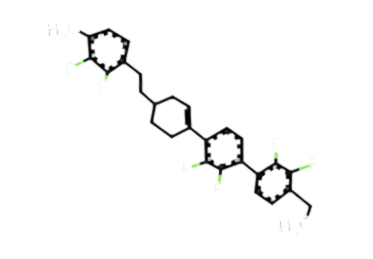 CCc1ccc(-c2ccc(C3=CCC(CCc4ccc(C)c(F)c4F)CC3)c(F)c2F)c(F)c1F